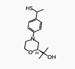 CC(S)c1ccc(N2CCO[C@H](C(C)(C)O)C2)cc1